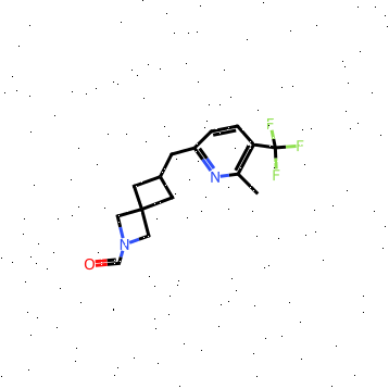 Cc1nc(CC2CC3(C2)CN(C=O)C3)ccc1C(F)(F)F